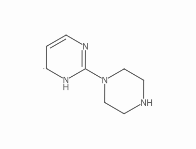 [CH]1C=CN=C(N2CCNCC2)N1